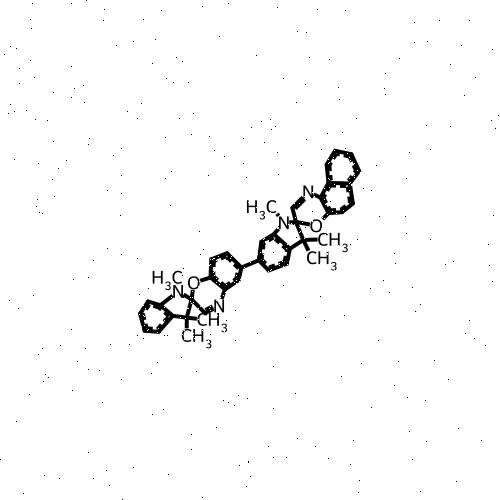 CN1c2ccccc2C(C)(C)C12C=Nc1cc(-c3ccc4c(c3)N(C)C3(C=Nc5c(ccc6ccccc56)O3)C4(C)C)ccc1O2